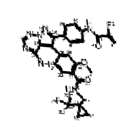 C=C(F)C(=O)Nc1ccc(-c2nn3ncnc(N)c3c2-c2ccc(C(=O)NCC3(C(F)(F)F)CC3)c(OC)c2)cc1